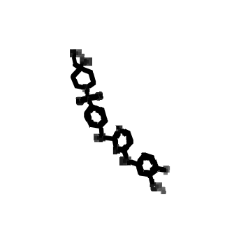 Cc1cc(Nc2ccnc(Nc3ccc(S(=O)(=O)N4CCC(O)(CN)CC4)cc3)n2)ccc1F